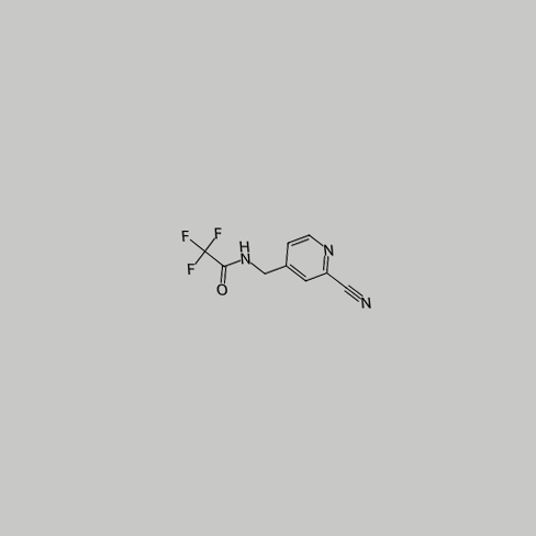 N#Cc1cc(CNC(=O)C(F)(F)F)ccn1